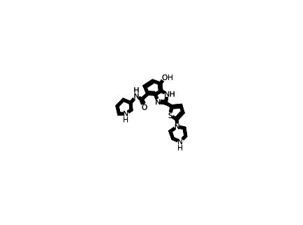 O=C(NC1CCCNC1)c1ccc(O)c2[nH]c(-c3ccc(N4CCNCC4)s3)nc12